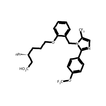 CCC[C@H](CCCOc1ccccc1Cn1c(C(F)(F)F)cnc1-c1ccc(OC(F)(F)F)cc1)CC(=O)O